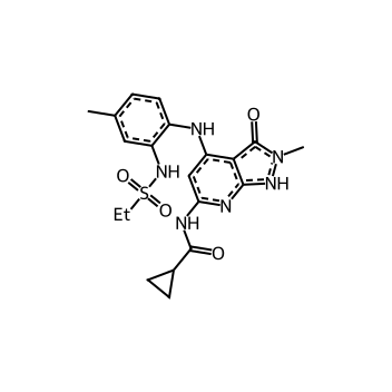 CCS(=O)(=O)Nc1cc(C)ccc1Nc1cc(NC(=O)C2CC2)nc2[nH]n(C)c(=O)c12